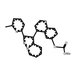 COC(=O)Oc1ccc2nccc(-c3c(-c4cccc(C)n4)nn4ccccc34)c2c1